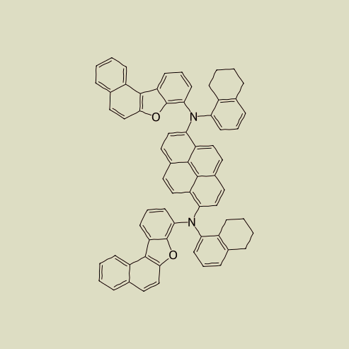 c1cc2c(c(N(c3ccc4ccc5c(N(c6cccc7c6CCCC7)c6cccc7c6oc6ccc8ccccc8c67)ccc6ccc3c4c65)c3cccc4c3oc3ccc5ccccc5c34)c1)CCCC2